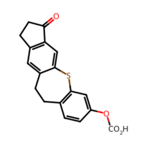 O=C(O)Oc1ccc2c(c1)Sc1cc3c(cc1CC2)CCC3=O